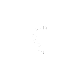 N#CCCc1ccc(-c2ccc(-c3ccc(-c4ccc(-c5ccc(Br)s5)s4)s3)s2)s1